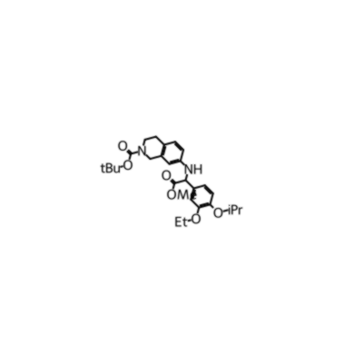 CCOc1cc(C(Nc2ccc3c(c2)CN(C(=O)OC(C)(C)C)CC3)C(=O)OC)ccc1OC(C)C